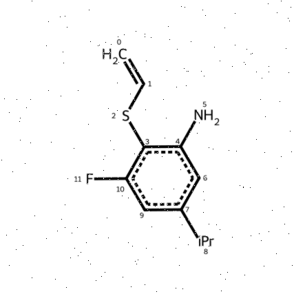 C=CSc1c(N)cc(C(C)C)cc1F